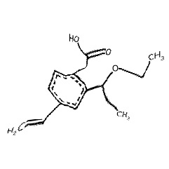 C=Cc1ccc(C(=O)O)c(C(C)OCC)c1